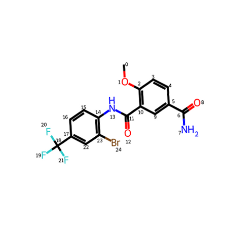 COc1ccc(C(N)=O)cc1C(=O)Nc1ccc(C(F)(F)F)cc1Br